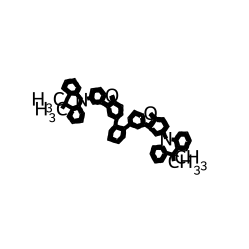 CC1(C)c2ccccc2N(c2ccc3oc4ccc(-c5ccccc5-c5ccc6oc7ccc(N8c9ccccc9C(C)(C)c9ccccc98)cc7c6c5)cc4c3c2)c2ccccc21